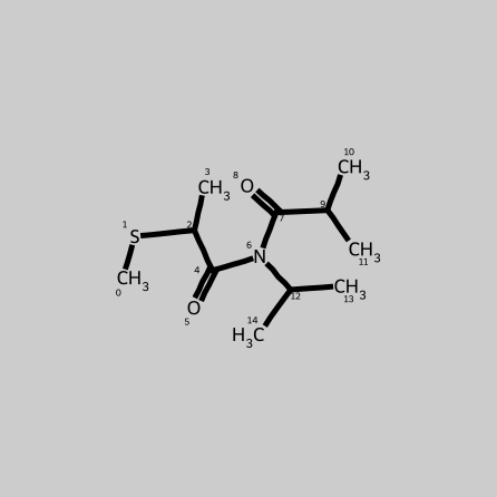 CSC(C)C(=O)N(C(=O)C(C)C)C(C)C